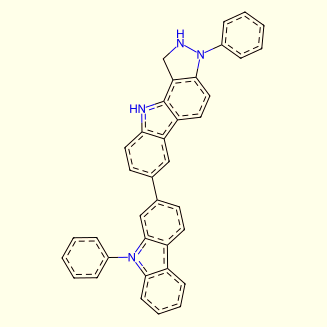 c1ccc(N2NCc3c2ccc2c3[nH]c3ccc(-c4ccc5c6ccccc6n(-c6ccccc6)c5c4)cc32)cc1